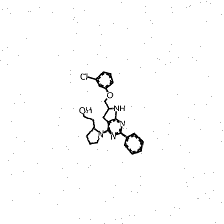 OCCC1CCCN1c1nc(-c2ccccc2)nc2c1CC(COc1cccc(Cl)c1)N2